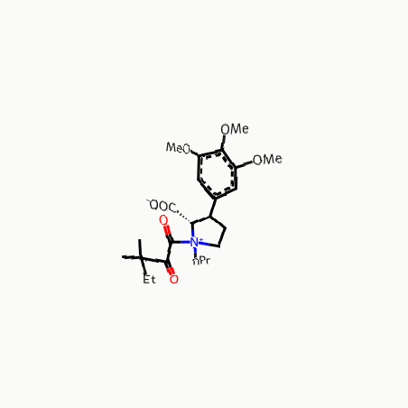 CCC[N+]1(C(=O)C(=O)C(C)(C)CC)CCC(c2cc(OC)c(OC)c(OC)c2)[C@H]1C(=O)[O-]